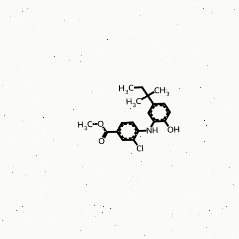 CCC(C)(C)c1ccc(O)c(Nc2ccc(C(=O)OC)cc2Cl)c1